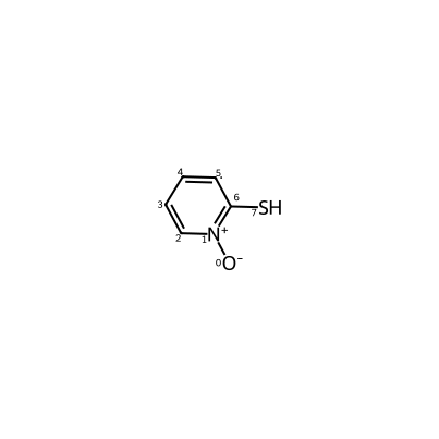 [O-][n+]1ccc[c]c1S